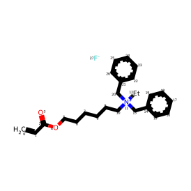 C=CC(=O)OCCCCCC[N+](CC)(Cc1ccccc1)Cc1ccccc1.[F-]